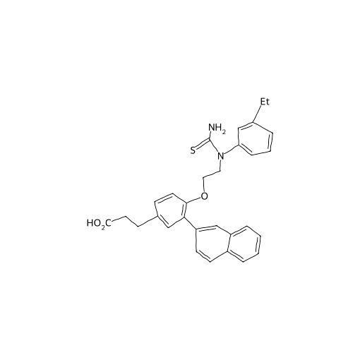 CCc1cccc(N(CCOc2ccc(CCC(=O)O)cc2-c2ccc3ccccc3c2)C(N)=S)c1